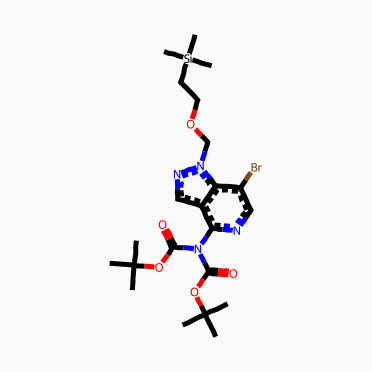 CC(C)(C)OC(=O)N(C(=O)OC(C)(C)C)c1ncc(Br)c2c1cnn2COCC[Si](C)(C)C